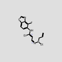 C=CCN(CC)/N=C\C=C(/CC)Nc1ccc2scnc2c1F